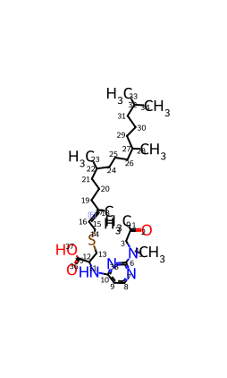 CC(=O)CN(C)c1nccc(NC(CSC/C=C(\C)CCCC(C)CCCC(C)CCCC(C)C)C(=O)O)n1